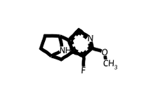 COc1ncc2c(c1F)CC1CCC2N1